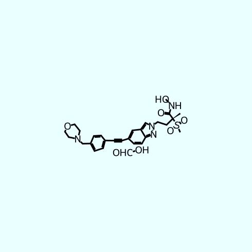 C[C@@](CCn1cc2cc(C#Cc3ccc(CN4CCOCC4)cc3)ccc2n1)(C(=O)NO)S(C)(=O)=O.O=CO